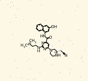 CN(C)CCNc1nc(C(=O)Nc2cc(O)cc3ccccc23)cc(N2CCN[C@@H](CC#N)C2)n1